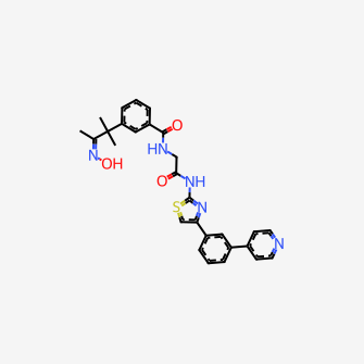 C/C(=N/O)C(C)(C)c1cccc(C(=O)NCC(=O)Nc2nc(-c3cccc(-c4ccncc4)c3)cs2)c1